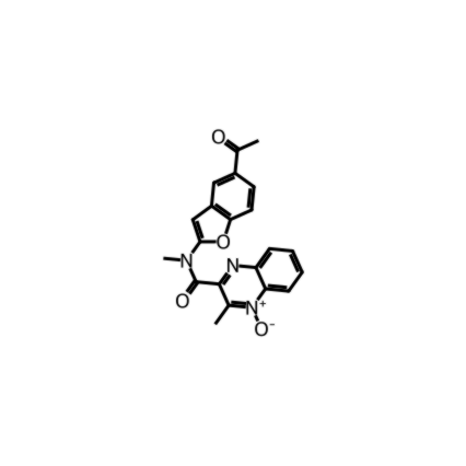 CC(=O)c1ccc2oc(N(C)C(=O)c3nc4ccccc4[n+]([O-])c3C)cc2c1